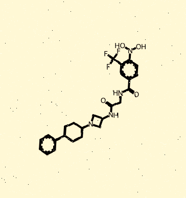 O=C(CNC(=O)c1ccc(N(O)O)c(C(F)(F)F)c1)NC1CN(C2CCC(c3ccccc3)CC2)C1